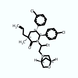 C=CC[C@@]1(C)C[C@H](c2cccc(Cl)c2)[C@@H](c2ccc(Cl)cc2)N(C(CC)CN2C[C@H]3C[C@@H]2CO3)C1=O